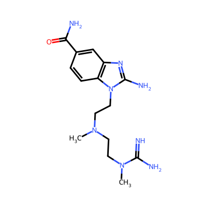 CN(CCN(C)C(=N)N)CCn1c(N)nc2cc(C(N)=O)ccc21